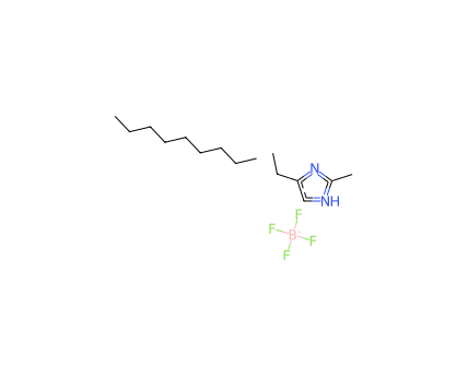 CCCCCCCCC.CCc1c[nH]c(C)n1.F[B-](F)(F)F